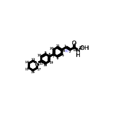 O=C(/C=C/c1ccc(-c2ccc(N3CCCCC3)cc2)cc1)NO